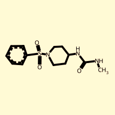 CNC(=O)NC1CCN(S(=O)(=O)c2ccccc2)CC1